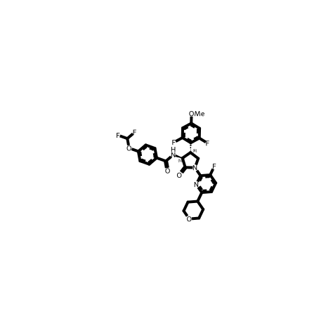 COc1cc(F)c([C@@H]2CN(c3nc(C4CCOCC4)ccc3F)C(=O)[C@H]2NC(=O)c2ccc(OC(F)F)cc2)c(F)c1